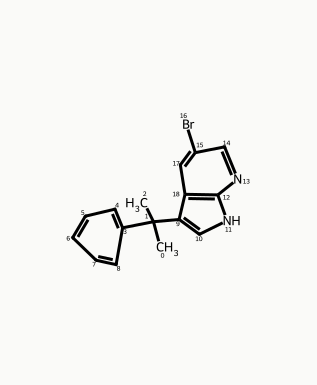 CC(C)(c1ccccc1)c1c[nH]c2ncc(Br)cc12